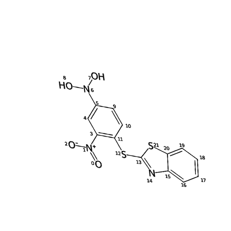 O=[N+]([O-])c1cc(N(O)O)ccc1Sc1nc2ccccc2s1